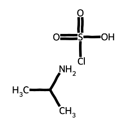 CC(C)N.O=S(=O)(O)Cl